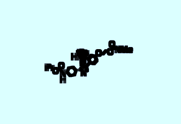 CNC(=O)OCCOc1ccc(-c2cnc([C@H]3CC[C@H](NC(=O)OC(C)C)CC3)s2)c(S(=O)(=O)NC(C)(C)C)c1